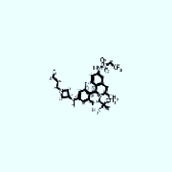 CC1Cc2cc(NS(=O)(=O)CC(F)(F)F)ccc2C(c2c(F)cc(NC3CN(CCCF)C3)cc2F)N1CC(C)(C)F